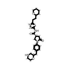 O=C(Nc1nnc(CCC2CCCCO2)s1)[C@H]1CC(=O)N(c2ccc(CC3CNCCO3)cc2)C1